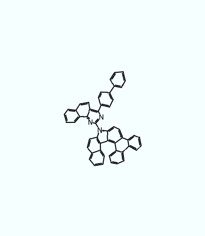 c1ccc(-c2ccc(-c3nc(-n4c5ccc6ccccc6c5c5c6c7ccccc7c7ccccc7c6ccc54)nc4c3ccc3ccccc34)cc2)cc1